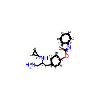 NCC(Cc1ccc(Oc2nc3ccccc3s2)cc1)NC1CC1